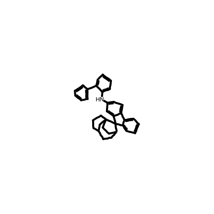 c1ccc(-c2ccccc2Nc2ccc3c(c2)C2(c4ccccc4-3)C3CCC4CCCC2(CC3)C4)cc1